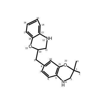 CC1(C)CNc2ccc(CC3CNc4ccccc4O3)cc2O1